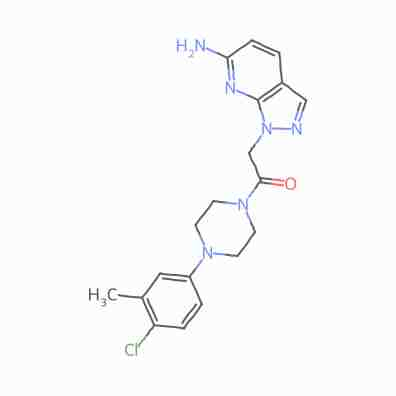 Cc1cc(N2CCN(C(=O)Cn3ncc4ccc(N)nc43)CC2)ccc1Cl